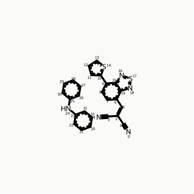 N#CC(C#N)=Cc1ccc(-c2cccs2)c2nsnc12.c1ccc(Nc2ccccc2)cc1